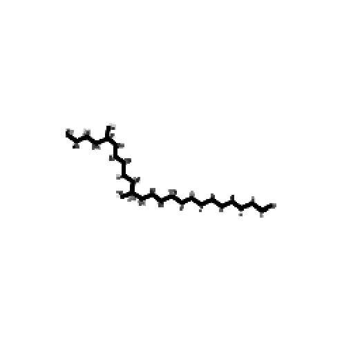 CCCCCCCCCCCCCCC(C)CCCCCC(C)CCCC